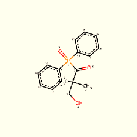 CC(C)(CO)C(=O)P(=O)(c1ccccc1)c1ccccc1